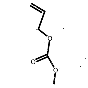 C=C[CH]OC(=O)OC